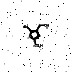 CC(C)(C)c1nn(C(=O)O)cc1CO